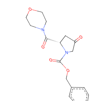 O=C1C[C@@H](C(=O)N2CCOCC2)N(C(=O)OCc2ccccc2)C1